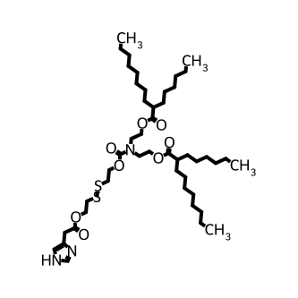 CCCCCCCCC(CCCCCC)C(=O)OCCN(CCOC(=O)C(CCCCCC)CCCCCCCC)C(=O)OCCSSCCOC(=O)Cc1c[nH]cn1